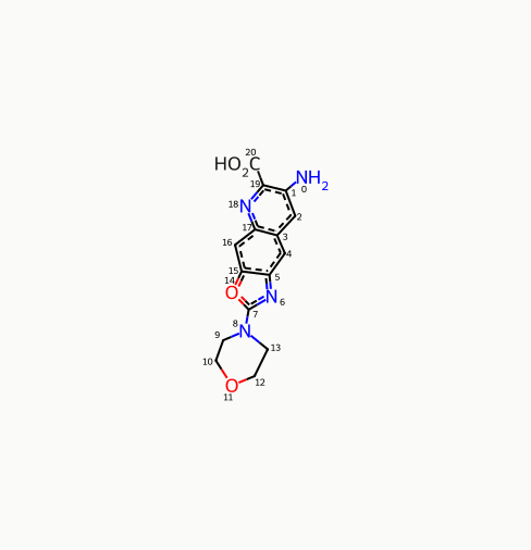 Nc1cc2cc3nc(N4CCOCC4)oc3cc2nc1C(=O)O